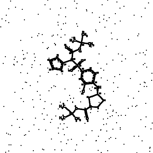 CC(C)(C)OC(=O)N1CC[C@H](Nc2ncc(S(=O)(=O)N(C(=O)OC(C)(C)C)c3cscn3)cc2Cl)C1